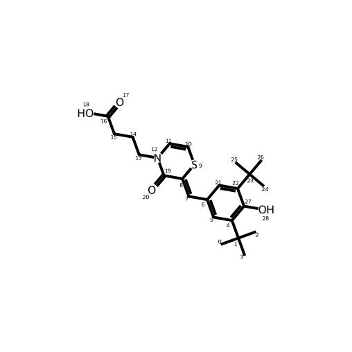 CC(C)(C)c1cc(C=C2SC=CN(CCCC(=O)O)C2=O)cc(C(C)(C)C)c1O